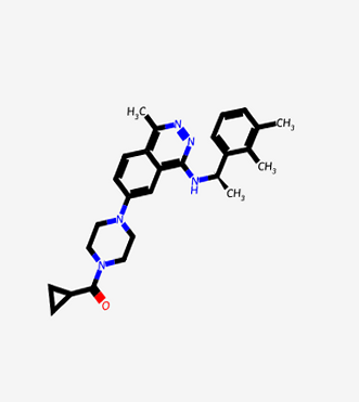 Cc1cccc([C@@H](C)Nc2nnc(C)c3ccc(N4CCN(C(=O)C5CC5)CC4)cc23)c1C